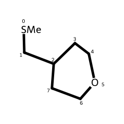 [CH2]SCC1CCOCC1